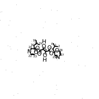 CC(C)CC1(OC(=O)C(O)C(O)C(=O)OC2(CC(C)C)C=NC=CO2)C=NC=CO1